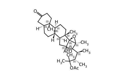 CC(=O)O[C@H]([C@@H](C)[C@H](C)C(C)(C)OC(C)=O)[C@]1(C)O[C@]12[C@@H](O)C[C@H]1[C@@H]3CC[C@H]4CC(=O)CC[C@]4(C)[C@H]3CC[C@@]12C